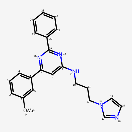 COc1cccc(-c2cc(NCCCn3ccnc3)nc(-c3ccccc3)n2)c1